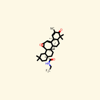 CC1(C)CC[C@]2(C(=O)NCC(F)(F)F)CC[C@]3(C)C(C4OC4C=C4[C@@]5(C)C=C(C#N)C(=O)C(C)(C)C5CC[C@]43C)C2C1